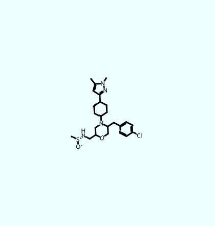 Cc1cc(C2CCC(N3CC(CN[S+](C)[O-])OCC3Cc3ccc(Cl)cc3)CC2)nn1C